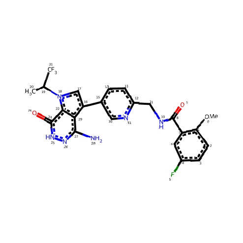 COc1ccc(F)cc1C(=O)NCc1ccc(-c2cn(C(C)C(F)(F)F)c3c(=O)[nH]nc(N)c23)cn1